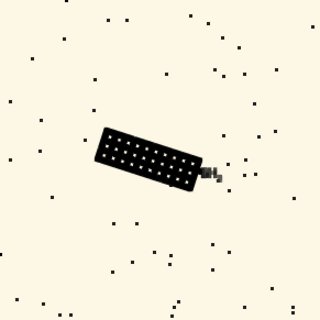 BC12CC3C4C5C6C7C8C9C%10C%11CC%12C%13CC%14C%15C%16C%17C%18C%19C%20C%21C%22CC1C%221C32C42C%211C%201C52C62C%191C%181C%173C%164C%155C%13%14C%12%11C%105C94C83C721